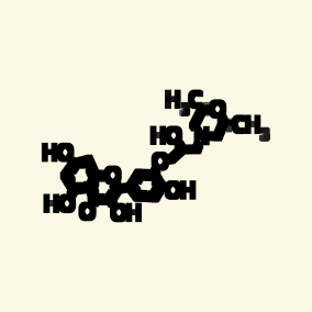 C[C@@H]1CN(CC(O)COc2cc(-c3oc4cc(O)cc(O)c4c(=O)c3O)ccc2O)C[C@H](C)O1